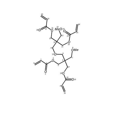 C=CC(=O)OCC(COC)(COCC(COC)(COC(=O)C=C)COC(=O)C=C)COC(=O)C=C